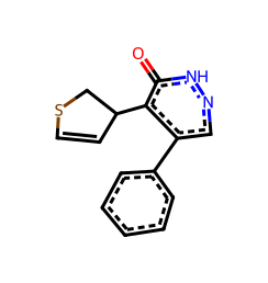 O=c1[nH]ncc(-c2ccccc2)c1C1C=CSC1